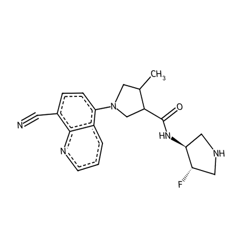 CC1CN(c2ccc(C#N)c3ncccc23)CC1C(=O)N[C@H]1CNC[C@@H]1F